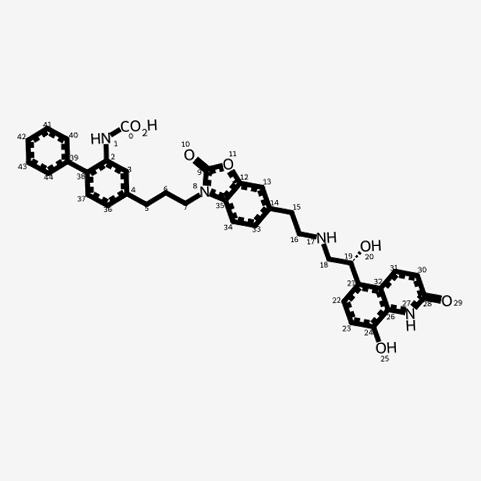 O=C(O)Nc1cc(CCCn2c(=O)oc3cc(CCNC[C@H](O)c4ccc(O)c5[nH]c(=O)ccc45)ccc32)ccc1-c1ccccc1